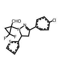 O=CC1(N2N=C(c3ccc(Cl)cc3)CC2c2cccs2)CC1(F)F